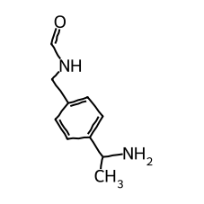 CC(N)c1ccc(CNC=O)cc1